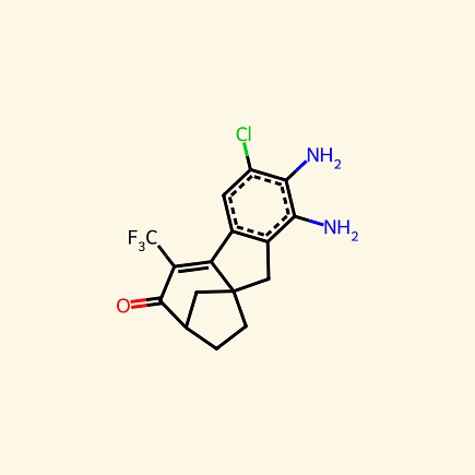 Nc1c(Cl)cc2c(c1N)CC13CCC(C1)C(=O)C(C(F)(F)F)=C23